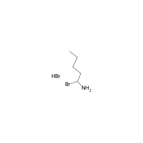 Br.CCCCC(N)Br